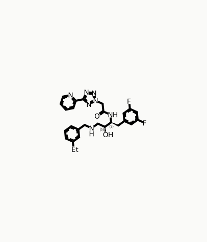 CCc1cccc(CNC[C@H](O)[C@H](Cc2cc(F)cc(F)c2)NC(=O)Cn2nnc(-c3ccccn3)n2)c1